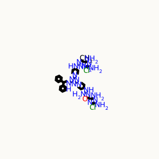 C=C(/N=C(\N)NC1CCN(c2nc(NCC(c3ccccc3)c3ccccc3)nc(N3CCC(N/C(N)=N/C(=O)c4nc(Cl)c(N)nc4N)CC3)n2)CC1)c1nc(Cl)c(N)nc1N